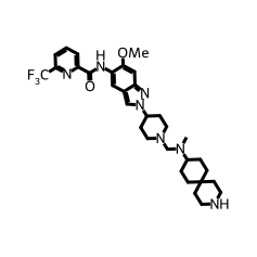 COc1cc2nn(C3CCN(CN(C)C4CCC5(CCNCC5)CC4)CC3)cc2cc1NC(=O)c1cccc(C(F)(F)F)n1